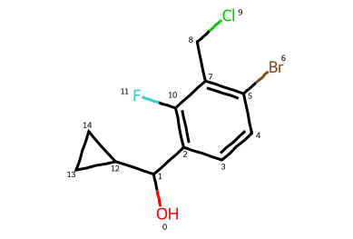 OC(c1ccc(Br)c(CCl)c1F)C1CC1